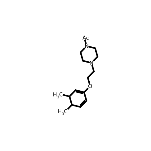 CC(=O)N1CCN(CCOC2=CC(C)C(C)C=C2)CC1